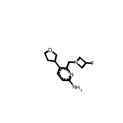 Nc1ccc(C2CCOC2)c(CN2CC(F)C2)n1